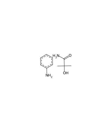 CC(C)(O)C(N)=O.Nc1ccccc1